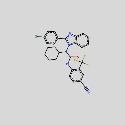 N#Cc1ccc(NC(=O)C(C2CCCCC2)n2c(-c3ccc(Cl)cc3)nc3ccccc32)c(C(F)(F)F)c1